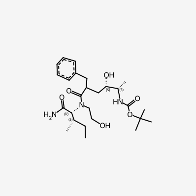 CC[C@H](C)[C@H](C(N)=O)N(CCO)C(=O)C(Cc1ccccc1)C[C@H](O)[C@H](C)NC(=O)OC(C)(C)C